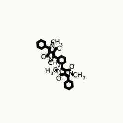 CN1C(=O)C2=C(C3CCCC(C4=C5C(=O)N(C)C(C6CCCCC6)=C5C(=O)N4C)C3)N(C)C(=O)C2=C1C1CCCCC1